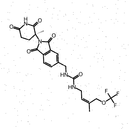 CC(=CCNC(=O)NCc1ccc2c(c1)C(=O)N([C@@]1(C)CCC(=O)NC1=O)C2=O)COC(F)(F)F